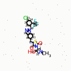 CN1CC(N2C(=O)S/C(=C\c3ccc4c(cnn4Cc4ccc(Cl)cc4C(F)(F)F)c3)C2=O)[C@H](O)C1